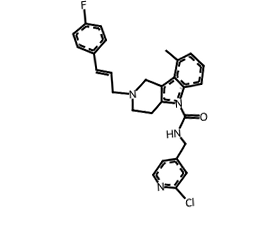 Cc1cccc2c1c1c(n2C(=O)NCc2ccnc(Cl)c2)CCN(C/C=C/c2ccc(F)cc2)C1